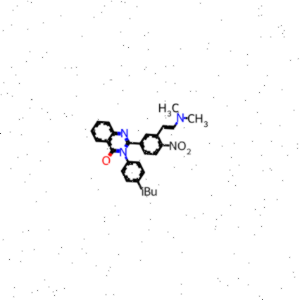 CCC(C)c1ccc(-n2c(-c3ccc([N+](=O)[O-])c(/C=C/N(C)C)c3)nc3ccccc3c2=O)cc1